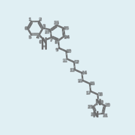 c1ccc2c(c1)[nH]c1c(CCCCCCCCCCn3ccnc3)cccc12